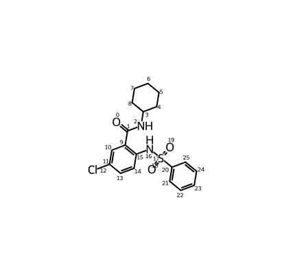 O=C(NC1CCCCC1)c1cc(Cl)ccc1NS(=O)(=O)c1ccccc1